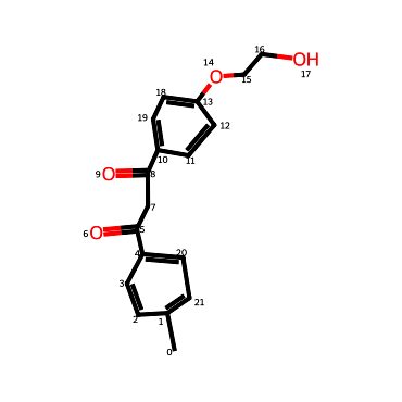 Cc1ccc(C(=O)CC(=O)c2ccc(OCCO)cc2)cc1